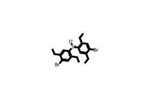 CCc1cc([S+]([O-])c2cc(CC)c(Br)cc2CC)c(CC)cc1Br